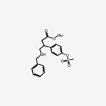 CC(C)(C)OC(=O)CC(CNCc1ccccc1)c1ccc(OS(C)(=O)=O)cc1